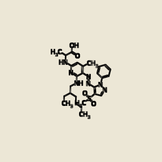 CCCCC(CC)CNc1nc(NC(C)C(=O)O)cc(C)c1N=Nc1c(S(C)(=O)=O)cnn1-c1ccccc1